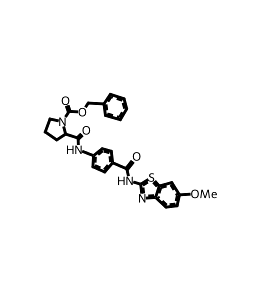 COc1ccc2nc(NC(=O)c3ccc(NC(=O)C4CCCN4C(=O)OCc4ccccc4)cc3)sc2c1